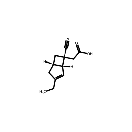 CCC1=C[C@@H]2[C@H](C1)C[C@]2(C#N)CC(=O)O